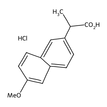 COc1ccc2cc(C(C)C(=O)O)ccc2c1.Cl